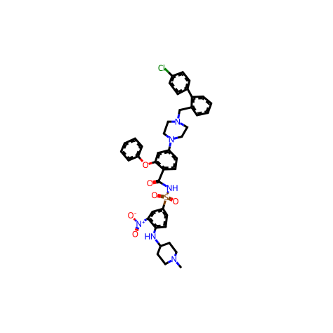 CN1CCC(Nc2ccc(S(=O)(=O)NC(=O)c3ccc(N4CCN(Cc5ccccc5-c5ccc(Cl)cc5)CC4)cc3Oc3ccccc3)cc2[N+](=O)[O-])CC1